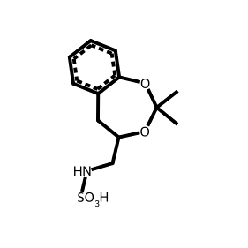 CC1(C)Oc2ccccc2CC(CNS(=O)(=O)O)O1